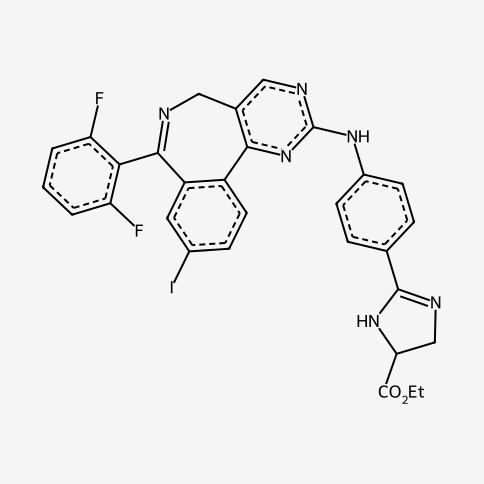 CCOC(=O)C1CN=C(c2ccc(Nc3ncc4c(n3)-c3ccc(I)cc3C(c3c(F)cccc3F)=NC4)cc2)N1